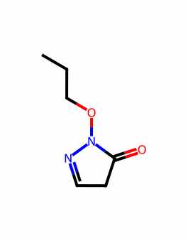 CCCON1N=CCC1=O